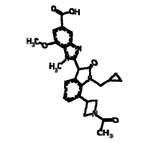 COc1cc(C(=O)O)cc2nc(C3C(=O)N(CC4CC4)c4c(C5CN(C(C)=O)C5)cccc43)n(C)c12